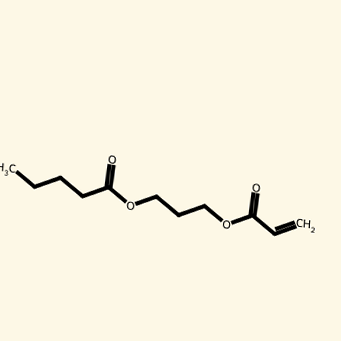 C=CC(=O)OCCCOC(=O)CCCC